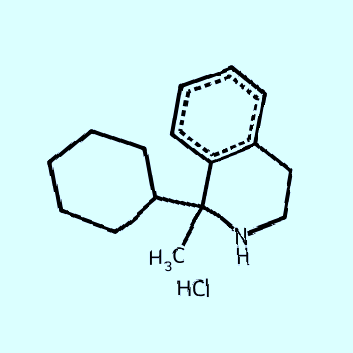 CC1(C2CCCCC2)NCCc2ccccc21.Cl